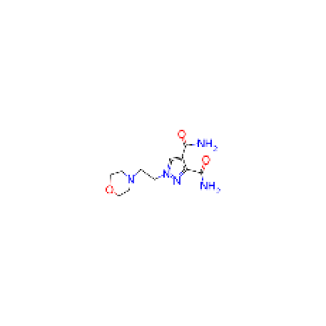 NC(=O)c1cn(CCN2CCOCC2)nc1C(N)=O